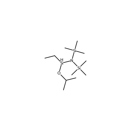 CC[SiH](OC(C)C)N([Si](C)(C)C)[Si](C)(C)C